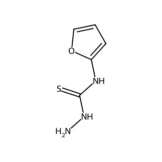 NNC(=S)Nc1ccco1